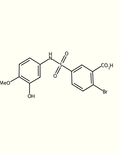 COc1ccc(NS(=O)(=O)c2ccc(Br)c(C(=O)O)c2)cc1O